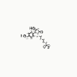 COC(=O)CCCC=CC[C@H]1C(=O)C[C@@H](O)[C@@H]1c1ccc(CO)cc1